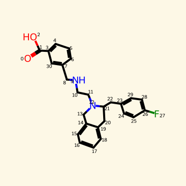 O=C(O)c1cccc(CNCCN2Cc3ccccc3CC2Cc2ccc(F)cc2)c1